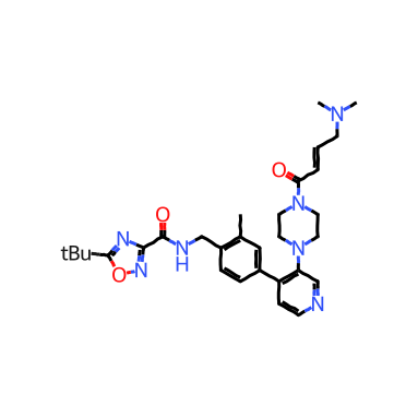 Cc1cc(-c2ccncc2N2CCN(C(=O)C=CCN(C)C)CC2)ccc1CNC(=O)c1noc(C(C)(C)C)n1